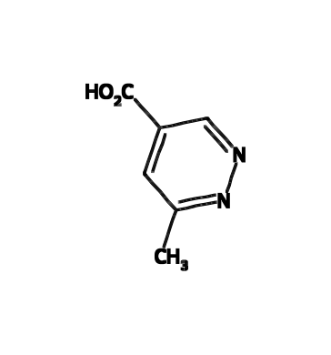 Cc1cc(C(=O)O)cnn1